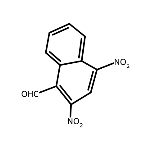 O=Cc1c([N+](=O)[O-])cc([N+](=O)[O-])c2ccccc12